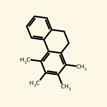 Cc1c(C)c(C)c2c(c1C)CCc1ccccc1-2